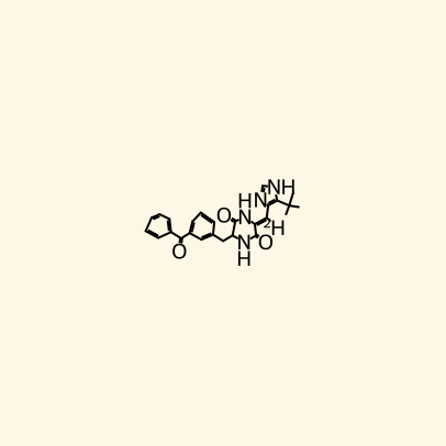 [2H]C(=C1NC(=O)C(Cc2cccc(C(=O)c3ccccc3)c2)NC1=O)c1nc[nH]c1C(C)(C)C